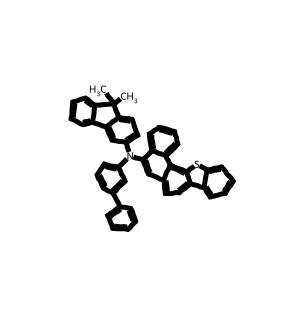 CC1(C)c2ccccc2-c2cc(N(c3cccc(-c4ccccc4)c3)c3cc4ccc5c6ccccc6sc5c4c4ccccc34)ccc21